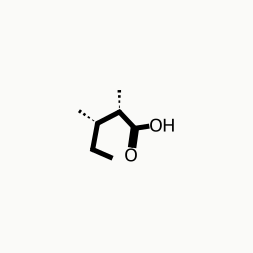 CC[C@H](C)[C@H](C)C(=O)O